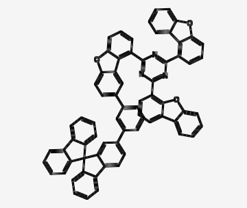 c1cc(-c2ccc3c(c2)C2(c4ccccc4-c4ccccc42)c2ccccc2-3)cc(-c2ccc3oc4cccc(-c5nc(-c6cccc7c6oc6ccccc67)nc(-c6cccc7oc8ccccc8c67)n5)c4c3c2)c1